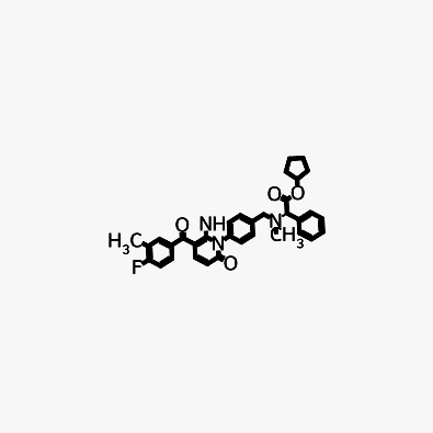 Cc1cc(C(=O)c2ccc(=O)n(-c3ccc(CN(C)[C@H](C(=O)OC4CCCC4)c4ccccc4)cc3)c2N)ccc1F